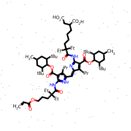 C=CC(=O)OCCCC(CC)(CC)C(=O)Nc1[nH]c(/C=C2\N=C(NC(=O)C(CC)(CC)CCCCC(CC(=O)O)C(=O)O)C(C(=O)OC3C(C(C)(C)C)CC(C)CC3C(C)(C)C)=C2C(C)C)c(C(C)C)c1C(=O)OC1C(C(C)(C)C)CC(C)CC1C(C)(C)C